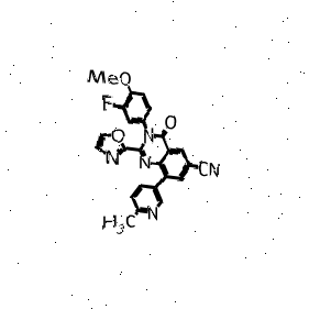 COc1ccc(-n2c(-c3ncco3)nc3c(-c4ccc(C)nc4)cc(C#N)cc3c2=O)cc1F